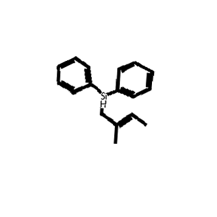 CC=C(C)C[SiH](c1ccccc1)c1ccccc1